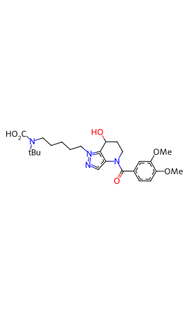 COc1ccc(C(=O)N2CCC(O)c3c2cnn3CCCCCN(C(=O)O)C(C)(C)C)cc1OC